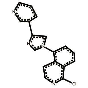 Clc1nccc2c(-n3cnc(-c4cccnc4)c3)cccc12